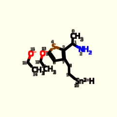 CC(N)c1sccc1C[CH2][SnH+2].CC[O-].CC[O-]